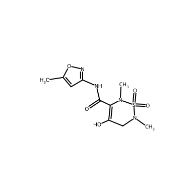 Cc1cc(NC(=O)C2=C(O)CN(C)S(=O)(=O)N2C)no1